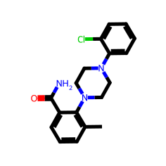 Cc1cccc(C(N)=O)c1N1CCN(c2ccccc2Cl)CC1